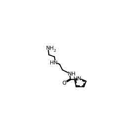 NCCNCCNC(=O)c1ccc[nH]1